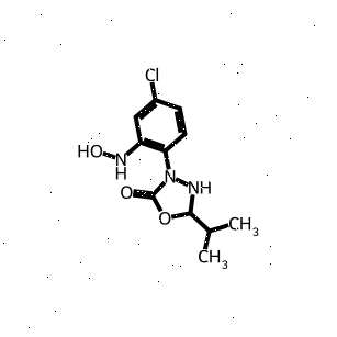 CC(C)C1NN(c2ccc(Cl)cc2NO)C(=O)O1